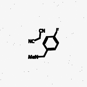 CNCc1ccc(F)cc1.N#CCC#N